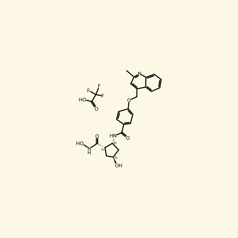 Cc1cc(COc2ccc(C(=O)N[C@@H]3C[C@@H](O)C[C@@H]3C(=O)NO)cc2)c2ccccc2n1.O=C(O)C(F)(F)F